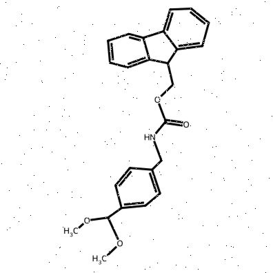 COC(OC)c1ccc(CNC(=O)OCC2c3ccccc3-c3ccccc32)cc1